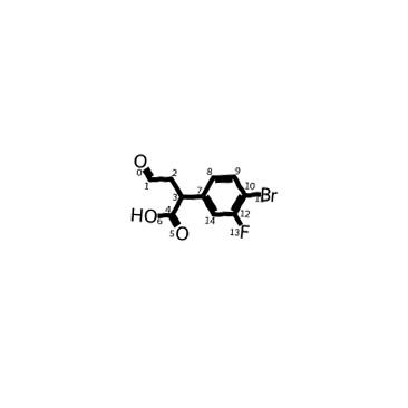 O=CCC(C(=O)O)c1ccc(Br)c(F)c1